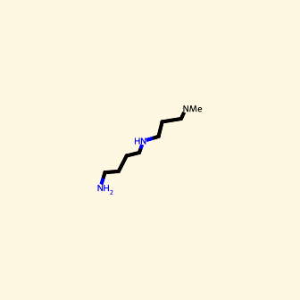 [CH2]NCCCNCCCCN